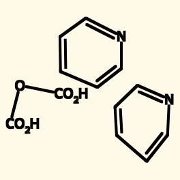 O=C(O)OC(=O)O.c1ccncc1.c1ccncc1